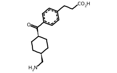 NC[C@H]1CC[C@@H](C(=O)c2ccc(CCC(=O)O)cc2)CC1